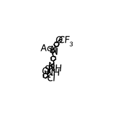 CC(=O)C1CC(c2ccc(/C=N/NC(=S)Nc3c(Cl)cccc3Cl)cc2)=NN1c1ccc(OC(F)(F)F)cc1